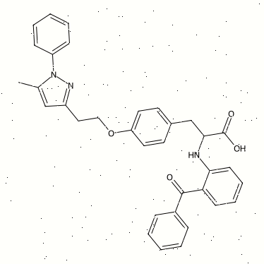 Cc1cc(CCOc2ccc(CC(Nc3ccccc3C(=O)c3ccccc3)C(=O)O)cc2)nn1-c1ccccc1